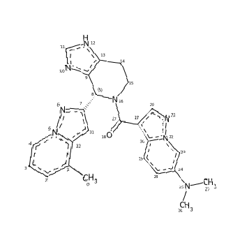 Cc1cccn2nc([C@@H]3c4nc[nH]c4CCN3C(=O)c3cnn4cc(N(C)C)ccc34)cc12